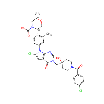 Cc1cc(-n2c(Cl)cc3c(=O)n(CC4(O)CCN(C(=O)c5ccc(Cl)cc5)CC4)cnc32)ccc1[C@H]1CO[C@H](C)CN1C(=O)O